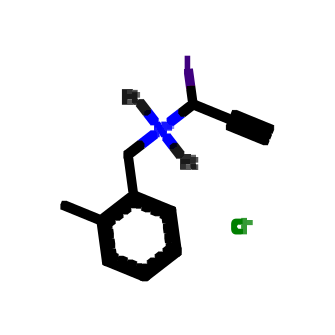 C#CC(I)[N+](CC)(CC)Cc1ccccc1C.[Cl-]